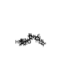 Cc1nc(N2CC3CCC3C2)ccc1Cn1cc(C(=O)N[C@@H]2CCc3c2n[nH]c3C)cn1